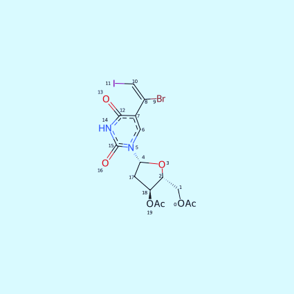 CC(=O)OC[C@H]1O[C@@H](n2cc(/C(Br)=C\I)c(=O)[nH]c2=O)C[C@@H]1OC(C)=O